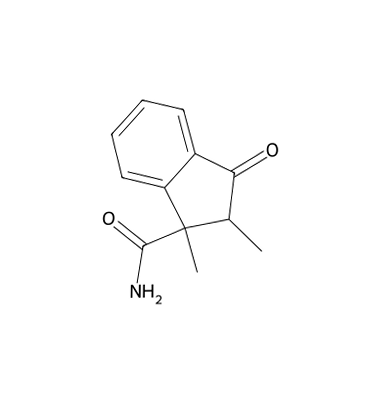 CC1C(=O)c2ccccc2C1(C)C(N)=O